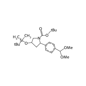 COC(OC)c1ccc(C2CC(O[Si](C)(C)C(C)(C)C)CN2C(=O)OC(C)(C)C)cc1